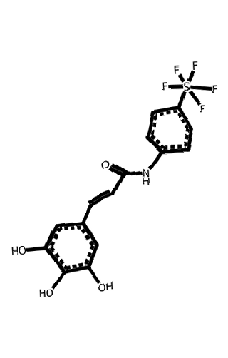 O=C(/C=C/c1cc(O)c(O)c(O)c1)Nc1ccc(S(F)(F)(F)(F)F)cc1